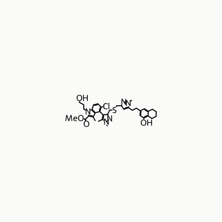 COC(=O)c1c(C)c2c(-c3c(CSCc4cc(CCc5cc(O)c6c(c5)CCCC6)n(C)n4)nn(C)c3C)c(Cl)ccc2n1CCCO